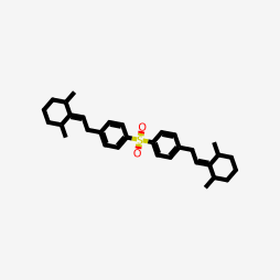 CC1CCCC(C)C1=CCc1ccc(S(=O)(=O)c2ccc(CC=C3C(C)CCCC3C)cc2)cc1